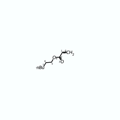 C=CC(=O)OCC[CH]CCC